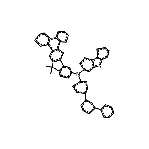 CC1(C)c2ccc(N(c3ccc(-c4cccc(-c5ccccc5)c4)cc3)c3ccc4c(c3)sc3ccccc34)cc2-c2cc3c4ccccc4c4ccccc4c3cc21